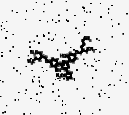 CCCCC(CC)COc1ccc(-c2nc(-c3ccc(OCC(CC)CCC)cc3O)nc(-c3cccn3C)n2)c(O)c1